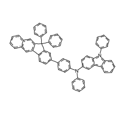 c1ccc(N(c2ccc(-c3ccc4c(c3)C(c3ccccc3)(c3ccccc3)c3cc5ccccc5cc3-4)cc2)c2ccc3c(c2)c2ccccc2n3-c2ccccc2)cc1